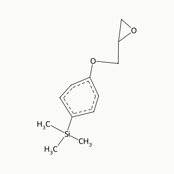 C[Si](C)(C)c1ccc(OCC2CO2)cc1